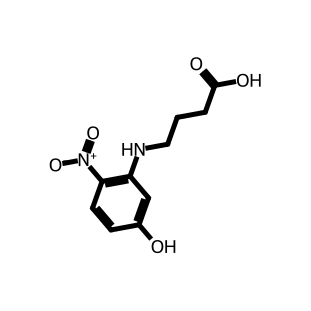 O=C(O)CCCNc1cc(O)ccc1[N+](=O)[O-]